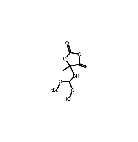 C=C1OC(=O)OC1(C)BC(OO)OC(C)(C)C